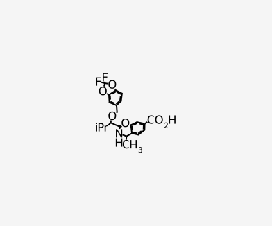 CC(NC(=O)C(OCc1ccc2c(c1)OC(F)(F)O2)C(C)C)c1ccc(C(=O)O)cc1